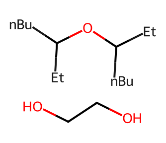 CCCCC(CC)OC(CC)CCCC.OCCO